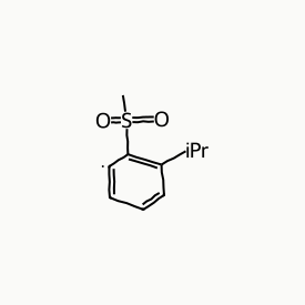 CC(C)c1ccc[c]c1S(C)(=O)=O